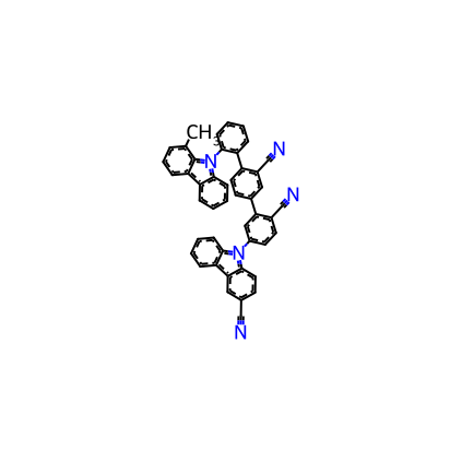 Cc1cccc2c3ccccc3n(-c3ccccc3-c3ccc(-c4cc(-n5c6ccccc6c6cc(C#N)ccc65)ccc4C#N)cc3C#N)c12